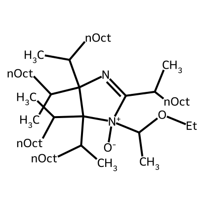 CCCCCCCCC(C)C1=NC(C(C)CCCCCCCC)(C(C)CCCCCCCC)C(C(C)CCCCCCCC)(C(C)CCCCCCCC)[N+]1([O-])C(C)OCC